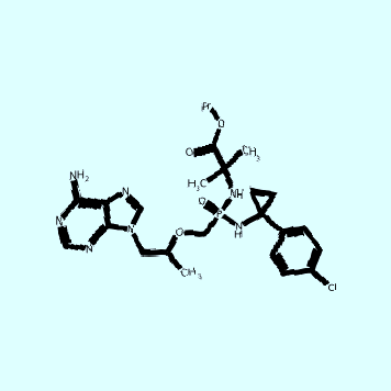 CC(C)OC(=O)C(C)(C)NP(=O)(COC(C)Cn1cnc2c(N)ncnc21)NC1(c2ccc(Cl)cc2)CC1